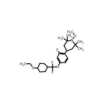 CCOC1CCC(C(F)(F)Oc2ccc(C3CC(C)(C)N(OC)C(C)(C)C3)c(F)c2)CC1